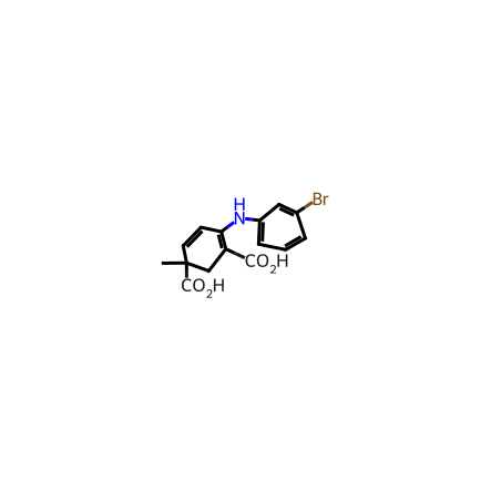 CC1(C(=O)O)C=CC(Nc2cccc(Br)c2)=C(C(=O)O)C1